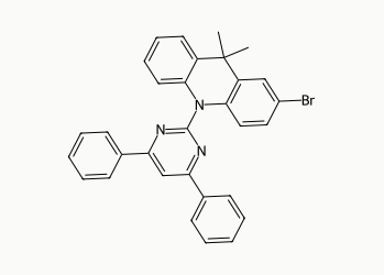 CC1(C)c2ccccc2N(c2nc(-c3ccccc3)cc(-c3ccccc3)n2)c2ccc(Br)cc21